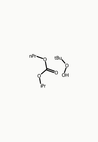 CC(C)(C)OO.CCCOC(=O)OC(C)C